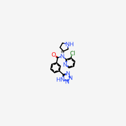 O=C(c1cccc(-c2nnn[nH]2)c1)N(c1ncccc1Cl)[C@@H]1CCNC1